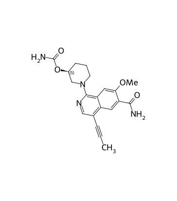 CC#Cc1cnc(N2CCC[C@H](OC(N)=O)C2)c2cc(OC)c(C(N)=O)cc12